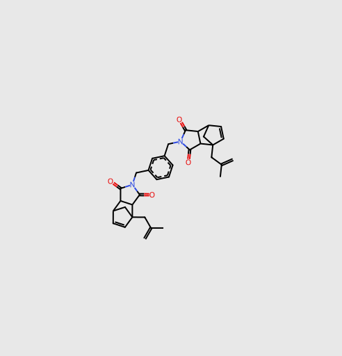 C=C(C)CC12C=CC(C1)C1C(=O)N(Cc3cccc(CN4C(=O)C5C6C=CC(CC(=C)C)(C6)C5C4=O)c3)C(=O)C12